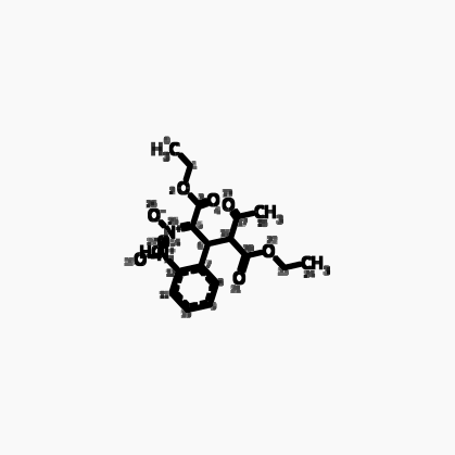 CCOC(=O)C(C(c1ccccc1[N+](=O)[O-])C(C(C)=O)C(=O)OCC)=[N+]([O-])O